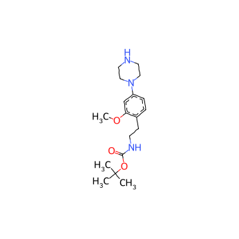 COc1cc(N2CCNCC2)ccc1CCNC(=O)OC(C)(C)C